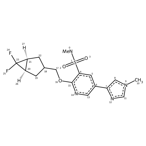 CNS(=O)(=O)c1cc(-c2cn(C)cn2)cnc1OCC1C[C@@H]2[C@H](C1)C2(F)F